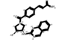 NC(=O)C=Cc1ccc(C(=O)N2C[C@H](Nc3ncc4ccccc4n3)[C@@H](F)C2)cc1